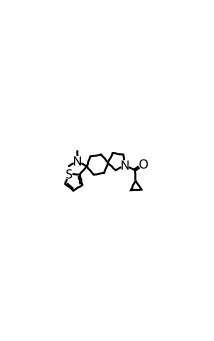 CN(C)C1(c2cccs2)CCC2(CCN(C(=O)C3CC3)C2)CC1